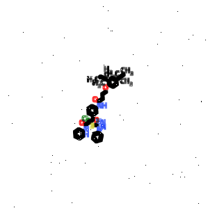 CCC(C)(C)c1ccc(OCCCC(=O)Nc2cccc(C(=O)C(Cl)(Sc3nnnn3-c3ccccc3)C(=O)Nc3ccccc3)c2)c(C(C)(C)CC)c1